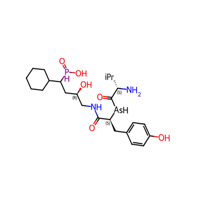 CC(C)[C@H](N)C(=O)[AsH][C@@H](Cc1ccc(O)cc1)C(=O)NC[C@H](O)CC(C1CCCCC1)[PH](=O)O